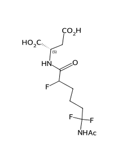 CC(=O)NC(F)(F)CCCC(F)C(=O)N[C@@H](CC(=O)O)C(=O)O